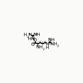 N=C(N)NCCC[C@H](N)C(=O)ONC(=N)N